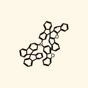 c1ccc2c(c1)-c1ccccc1C21c2ccccc2-c2ccc(N(c3ccc4c(c3)C3(c5ccccc5-4)c4ccc5ccccc5c4Oc4c3ccc3ccccc43)c3ccc4oc5ccccc5c4c3)cc21